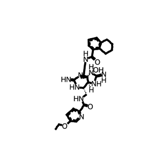 CCOc1ccc(C(=O)NC[C@@H]2NC(=N)N3CC(NC(=O)c4cccc5c4CCCC5)[C@@H](O)[C@@]34NC(=N)N[C@@H]24)nc1